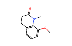 COc1cccc2c1N(C)C(=O)CC2